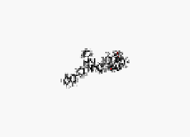 c1ccc(-c2nc(-c3ccc(-c4ccc5ccccc5c4)cc3)nc(-c3cccc(-c4ccc5c(c4)C4(c6ccccc6Oc6ccccc64)c4ccccc4-5)c3)n2)cc1